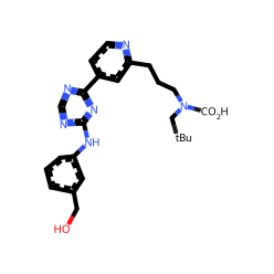 CC(C)(C)CN(CCCc1cc(-c2ncnc(Nc3cccc(CO)c3)n2)ccn1)C(=O)O